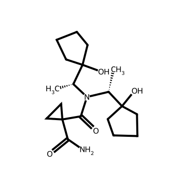 C[C@@H](N(C(=O)C1(C(N)=O)CC1)[C@H](C)C1(O)CCCC1)C1(O)CCCC1